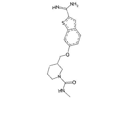 CNC(=O)N1CCCC(COc2ccc3cc(C(=N)N)sc3c2)C1